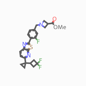 COC(=O)C1CN(Cc2ccc(-c3nc4ccc(C5(C6CC(F)(F)C6)CC5)nc4s3)c(F)c2)C1